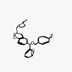 CCOCC1Cc2cc(C(OCc3ccc(F)cc3)c3ccccn3)ccc2OO1